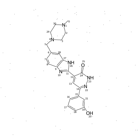 CN1CCN(Cc2ccc3nc(-c4cc(-c5cccc(O)c5)n[nH]c4=O)[nH]c3c2)CC1